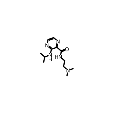 CC(C)Nc1nccnc1C(=O)NCCN(C)C